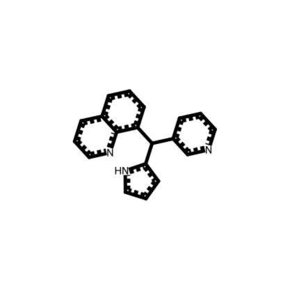 c1cncc(C(c2ccc[nH]2)c2cccc3cccnc23)c1